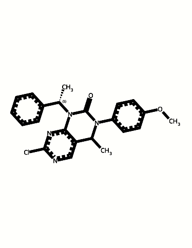 COc1ccc(N2C(=O)N([C@@H](C)c3ccccc3)c3nc(Cl)ncc3C2C)cc1